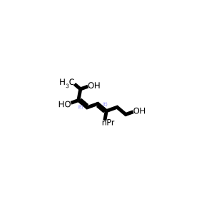 CCC/C(=C\C=C(\O)C(C)O)CCO